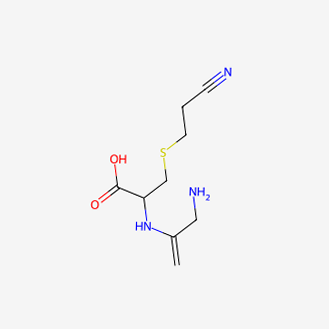 C=C(CN)NC(CSCCC#N)C(=O)O